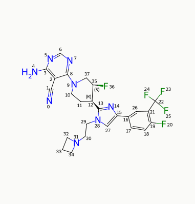 N#Cc1c(N)ncnc1N1CC[C@H](c2nc(-c3ccc(F)c(C(F)(F)F)c3)cn2CCN2CCC2)[C@H](F)C1